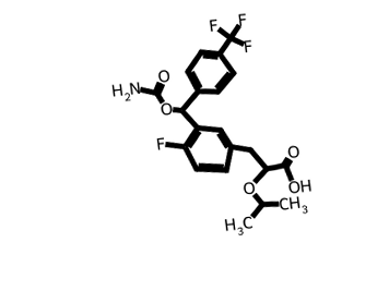 CC(C)OC(Cc1ccc(F)c(C(OC(N)=O)c2ccc(C(F)(F)F)cc2)c1)C(=O)O